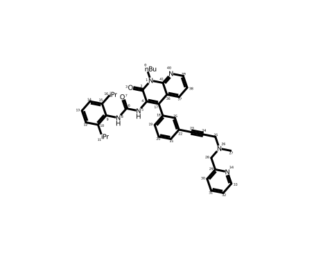 CCCCn1c(=O)c(NC(=O)Nc2c(C(C)C)cccc2C(C)C)c(-c2cccc(C#CCN(C)Cc3ccccn3)c2)c2cccnc21